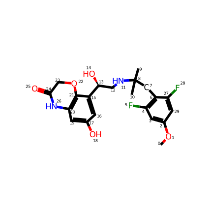 COc1cc(F)c(CC(C)(C)NC[C@H](O)c2cc(O)cc3c2OCC(=O)N3)c(F)c1